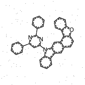 c1ccc(-c2cc(-n3c4ccccc4c4cc5ccc6oc7ccccc7c6c5cc43)nc(-c3ccccc3)n2)cc1